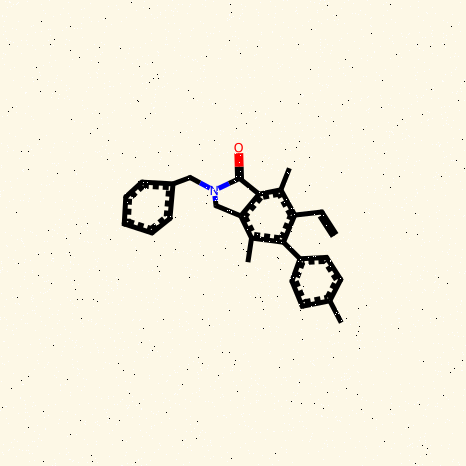 C=Cc1c(C)c2c(c(C)c1-c1ccc(C)cc1)CN(Cc1ccccc1)C2=O